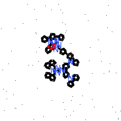 c1ccc(-c2nc(-c3ccc(-c4ccc5c6ccccc6n(-c6ccc7c(c6)c6cc(-n8c9ccccc9c9ccccc98)ccc6n7-c6nc(-c7cccc8ccccc78)nc(-c7cccc8ccccc78)n6)c5c4)cc3)nc(-n3c4ccccc4c4ccc5c6ccccc6n(-c6ccccc6)c5c43)n2)cc1